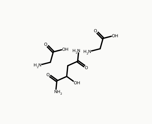 NC(=O)CC(O)C(N)=O.NCC(=O)O.NCC(=O)O